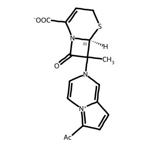 CC(=O)c1ccc2cn(C3(C)C(=O)N4C(C(=O)[O-])=CCS[C@H]43)cc[n+]1-2